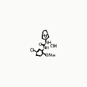 COc1ccc(Cl)cc1NC(=O)NC1CC2CCC(C1)N2C.Cl